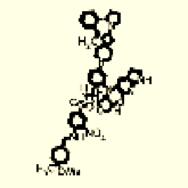 C=Cc1ccccc1[C@@H]1CCCN1C1CC2(CCN(c3ccc(C(=O)NS(=O)(=O)c4ccc(NCC5CCC(C)(OC)CC5)c([N+](=O)[O-])c4)c(N4c5cc6cc[nH]c6nc5O[C@H]5COC[C@@H]54)c3)CC2)C1